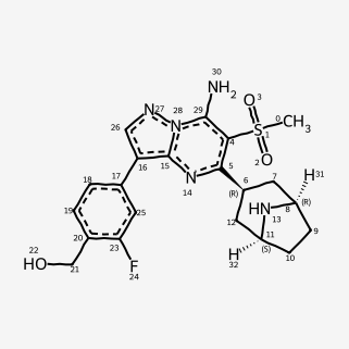 CS(=O)(=O)c1c([C@H]2C[C@H]3CC[C@@H](C2)N3)nc2c(-c3ccc(CO)c(F)c3)cnn2c1N